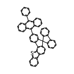 c1ccc(-c2c3ccccc3c(-c3ccc4c(c3)C3(c5ccccc5-c5ccccc53)c3ccc5c(sc6ccccc65)c3-4)c3ccccc23)cc1